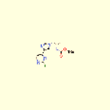 CC(Cn1cnc(-c2ccnc(Cl)n2)c1)NC(=O)OC(C)(C)C